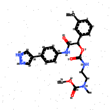 COc1cccc(C(OC(=O)NCCN(C)C(=O)OC(C)(C)C)C(=O)Nc2ccc(-c3cn[nH]c3)cc2)c1